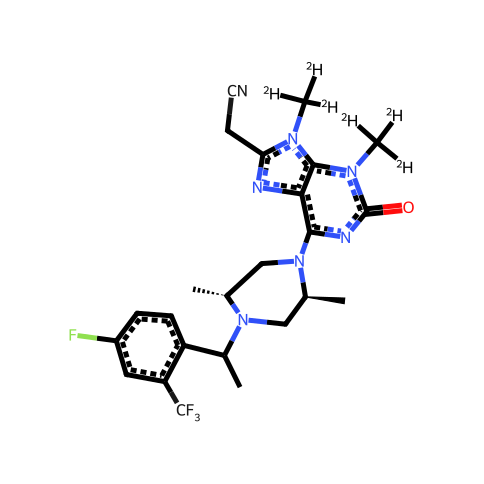 [2H]C([2H])([2H])n1c(CC#N)nc2c(N3C[C@@H](C)N(C(C)c4ccc(F)cc4C(F)(F)F)C[C@@H]3C)nc(=O)n(C([2H])([2H])[2H])c21